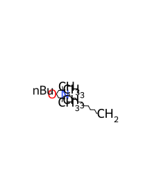 C=CCCCCCCCCCN1C(C)(C)CC(OCCCC)CC1(C)C